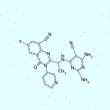 CC(Nc1nc(N)nc(N)c1C#N)c1nc2c(C#N)cc(F)cc2c(=O)n1-c1cccnc1